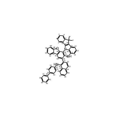 CC1(C)c2ccccc2-c2c1c1cccc3c1n2-c1c(c(-c2ccc4ccccc4c2Nc2ccc(-c4ccccc4)cc2)cc2c1oc1ccccc12)B3